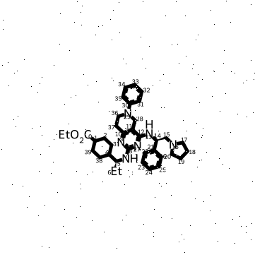 CCOC(=O)C1CCC([C@@H](CC)Nc2nc3c(c(N[C@@H](CN4CCCC4)c4ccccc4)n2)CN(c2ccccc2)CC3)CC1